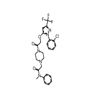 CN(C(=O)CN1CCN(C(=O)COc2cc(C(F)(F)F)nn2-c2ccccc2Cl)CC1)c1ccccc1